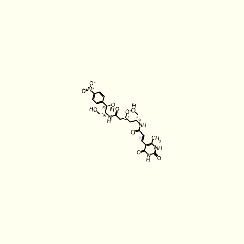 Cc1[nH]c(=O)[nH]c(=O)c1/C=C/C(=O)N[C@@H](CO)C[S+]([O-])CC(=O)N[C@H](CO)[C@H](O)c1ccc([N+](=O)[O-])cc1